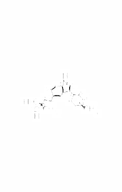 CN1CCC(c2c[nH]c3ccc(CCC(C)(C)O)cc23)CC1